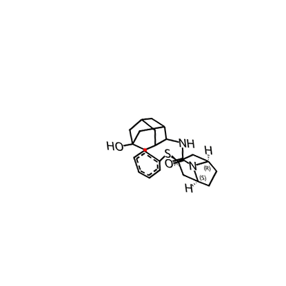 O=C(NC1C2CC3CC1CC(O)(C3)C2)N1[C@@H]2CC[C@H]1C[C@@H](Sc1ccccc1)C2